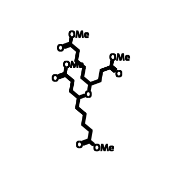 COC(=O)CCCCC(CCC(=O)OC)OC(CCCCC(=O)OC)CCC(=O)OC